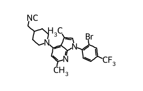 [C-]#[N+]CC1CCN(c2cc(C)nc3c2c(C)cn3-c2ccc(C(F)(F)F)cc2Br)CC1